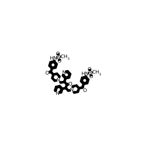 CS(=O)(=O)Nc1ccc(C(=O)C2CCN(CC(C(=O)C(CN3CCC(C(=O)c4ccc(NS(C)(=O)=O)cc4)CC3)c3cccnc3)c3cccnc3)CC2)cc1